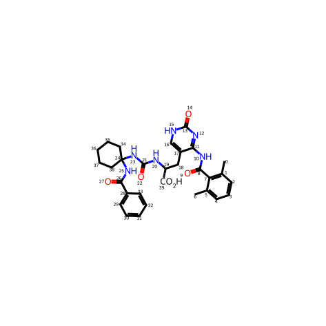 Cc1cccc(C)c1C(=O)Nc1nc(=O)[nH]cc1CC(NC(=O)NC1(NC(=O)c2ccccc2)CCCCC1)C(=O)O